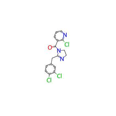 O=C(c1cccnc1Cl)N1CCN=C1Cc1ccc(Cl)c(Cl)c1